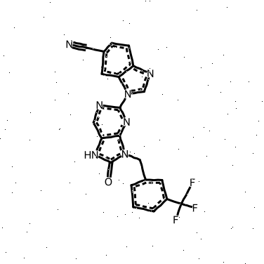 N#Cc1ccc2ncn(-c3ncc4[nH]c(=O)n(Cc5cccc(C(F)(F)F)c5)c4n3)c2c1